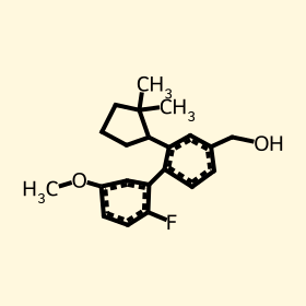 COc1ccc(F)c(-c2ccc(CO)cc2C2CCCC2(C)C)c1